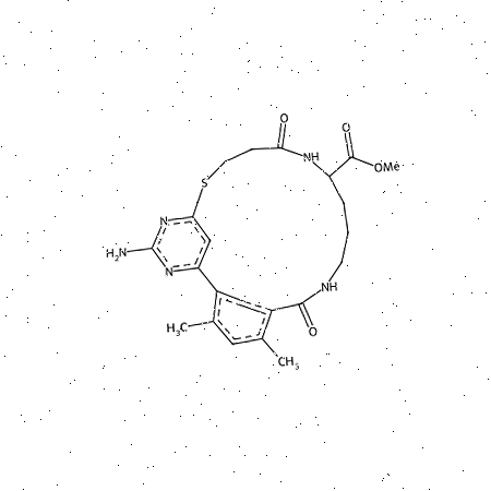 COC(=O)C1CCCNC(=O)c2cc(c(C)cc2C)-c2cc(nc(N)n2)SCCC(=O)N1